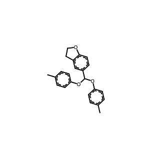 Cc1ccc(OC(Oc2ccc(C)cc2)c2ccc3c(c2)CCO3)cc1